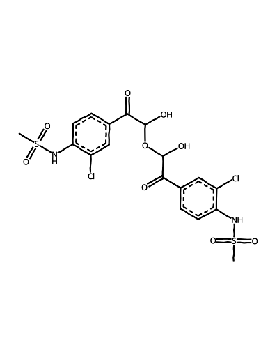 CS(=O)(=O)Nc1ccc(C(=O)C(O)OC(O)C(=O)c2ccc(NS(C)(=O)=O)c(Cl)c2)cc1Cl